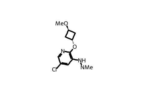 CNNc1cc(Cl)cnc1O[C@H]1C[C@H](OC)C1